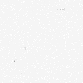 O=CC(CCCCCCC(=O)O)C(=O)O